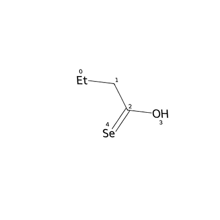 CCCC(O)=[Se]